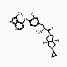 Cc1c[nH]c2nccc(Oc3ccc(C[C@H](N)C(=O)N4C[C@@H]5CN(C6CC6)C[C@@H]5C4)cc3F)c12